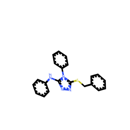 c1ccc(CSc2nnc(Nc3ccccc3)n2-c2ccccc2)cc1